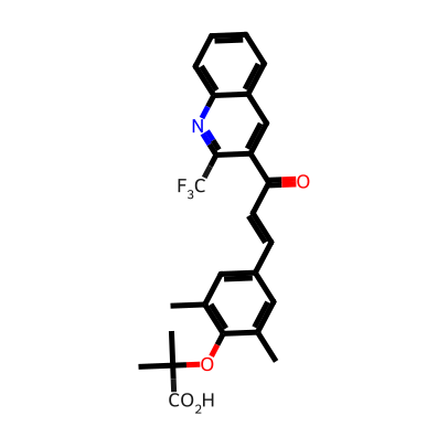 Cc1cc(/C=C/C(=O)c2cc3ccccc3nc2C(F)(F)F)cc(C)c1OC(C)(C)C(=O)O